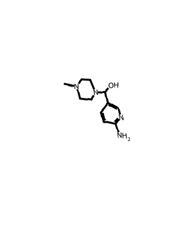 CN1CCN(C(O)c2ccc(N)nc2)CC1